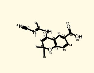 CC(=NC#N)NC1=CC(C)(C)Oc2ccc(C(=O)O)cc21